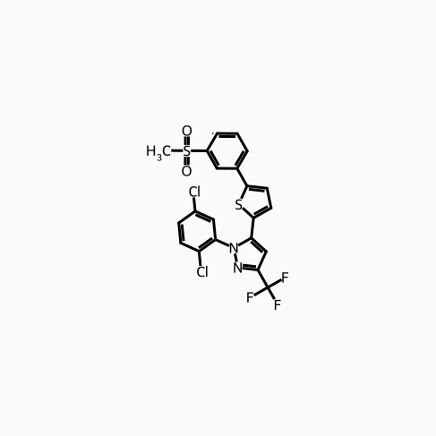 CS(=O)(=O)c1[c]ccc(-c2ccc(-c3cc(C(F)(F)F)nn3-c3cc(Cl)ccc3Cl)s2)c1